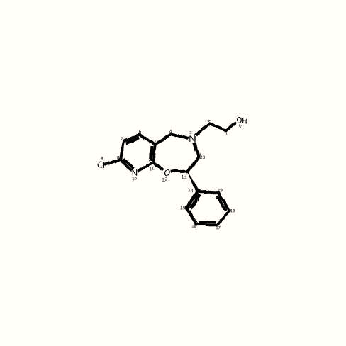 OCCN1Cc2ccc(Cl)nc2O[C@H](c2ccccc2)C1